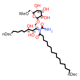 CCCCCCCCCCCCCCCCCCCCCCCC(=O)N(C(N)=O)[C@@H](CO[C@H]1O[C@H](COC)[C@H](O)[C@H](O)[C@H]1O)[C@H](O)[C@H](O)CCCCCCCCCCCCCC